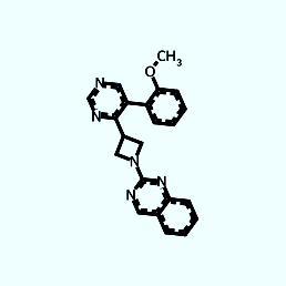 COc1ccccc1-c1cncnc1C1CN(c2ncc3ccccc3n2)C1